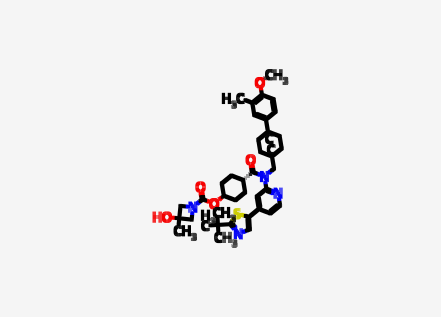 COc1ccc(C23CCC(CN(c4cc(-c5cnc(C(C)(C)C)s5)ccn4)C(=O)[C@H]4CC[C@H](OC(=O)N5CC(C)(O)C5)CC4)(CC2)CC3)cc1C